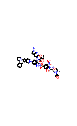 Cc1ccccc1[C@@H]1CCCN1C1CC2(CCN(c3ccc(C(=O)NS(=O)(=O)c4cc5c(c([N+](=O)[O-])c4)N[C@H]([C@H]4CN(C6COC6)[C@H](C)CO4)CO5)c(N4c5cc6cc[nH]c6nc5O[C@H]5COC[C@@H]54)c3)CC2)C1